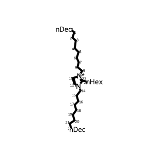 CCCCCCCCCCCCCCCCCCC[n+]1ccn(CCCCCCCCCCCCCCCCCC)c1CCCCCC